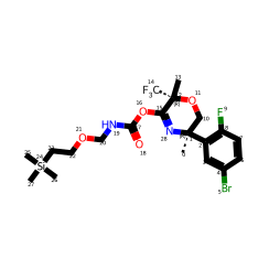 C[C@@]1(c2cc(Br)ccc2F)CO[C@@](C)(C(F)(F)F)C(OC(=O)NCOCC[Si](C)(C)C)=N1